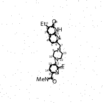 CCc1cc2ccc(CN3CCN(c4ccc(C(=O)NC)nc4F)CC3)nc2[nH]c1=O